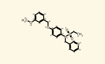 CCS(=O)(=O)N(Cc1cccnc1)c1ccc(OCc2cccc(OC)c2)cc1